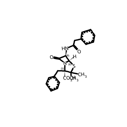 CC1(C)S[C@@H]2[C@H](NC(=O)Cc3ccccc3)C(=O)N2[C@@]1(Cc1ccccc1)C(=O)O